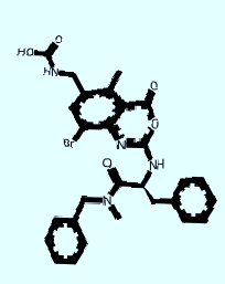 Cc1c(CNC(=O)O)cc(Br)c2nc(N[C@@H](Cc3ccccc3)C(=O)N(C)Cc3ccccc3)oc(=O)c12